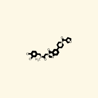 CN(Cc1ccc(Cl)c(Cl)c1)C(=O)Cn1cnc2ccc(C3CCN(C(=O)C4CCOC4)CC3)cc2c1=O